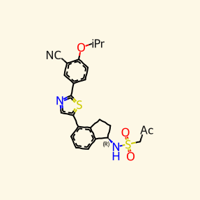 CC(=O)CS(=O)(=O)N[C@@H]1CCc2c(-c3cnc(-c4ccc(OC(C)C)c(C#N)c4)s3)cccc21